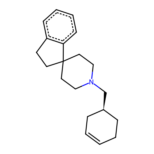 C1=CC[C@@H](CN2CCC3(CCc4ccccc43)CC2)CC1